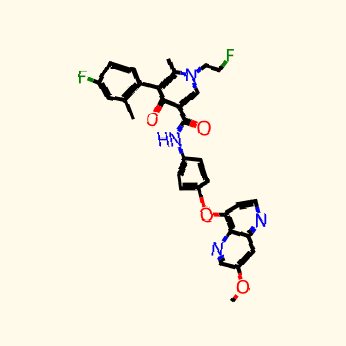 COc1cnc2c(Oc3ccc(NC(=O)c4cn(CCF)c(C)c(-c5ccc(F)cc5C)c4=O)cc3)ccnc2c1